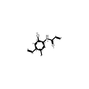 C=CC(=O)Nc1cc(C)c(C=C)cc1Cl